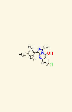 Cc1cc(C)c(-c2nc(C)n3c(O)c(CCCl)c(C)nc23)c(C)c1